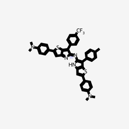 Cc1ccc(-c2c(/N=C3\N=c4cc(-c5ccc(N(C)C)cc5)sc4=C3c3ccc(C(F)(F)F)cc3)[nH]c3cc(-c4ccc(N(C)C)cc4)sc23)cc1